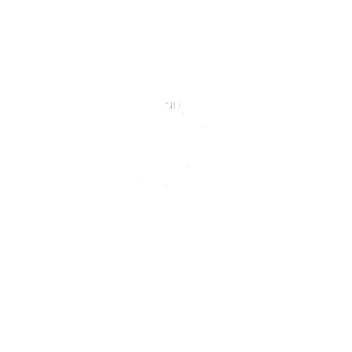 C=CC(=O)OC(C)(N)C(=C)C